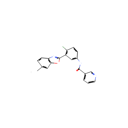 Cc1ccc2nc(-c3cc(NC(=O)c4cccnc4)ccc3Cl)oc2c1